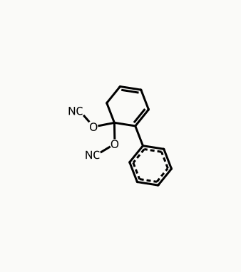 N#COC1(OC#N)CC=CC=C1c1ccccc1